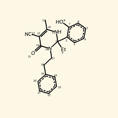 CCC1(c2ccccc2O)NC(C)=C(C#N)C(=O)N1CCc1ccccc1